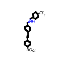 CCCCCCCCc1ccc(C#Cc2ccc(CNCc3ccc(C(F)(F)F)cc3)cc2)cc1